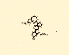 COCOc1cc(Cl)ccc1-c1cc2c(nn1)C([C@@H]1CCCOCC(NC(=O)OC(C)(C)C)C1)=CCC2